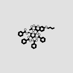 CCCCOc1ccc2c(O[C@@H]3O[C@H](COC(=O)c4ccccc4)[C@@H](OC(=O)c4ccccc4)[C@H](OC(=O)c4ccccc4)[C@H]3OC(=O)c3ccccc3)c(OC(C)=O)c(=O)oc2c1